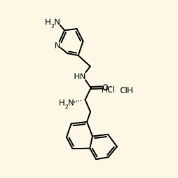 Cl.Cl.Nc1ccc(CNC(=O)[C@@H](N)Cc2cccc3ccccc23)cn1